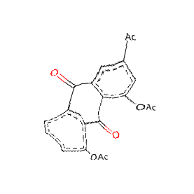 CC(=O)Oc1cccc2c1C(=O)c1c(OC(C)=O)cc(C(C)=O)cc1C2=O